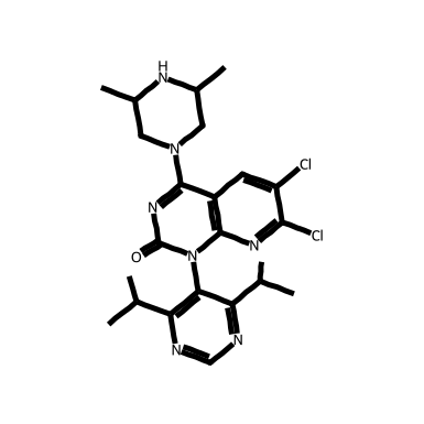 CC1CN(c2nc(=O)n(-c3c(C(C)C)ncnc3C(C)C)c3nc(Cl)c(Cl)cc23)CC(C)N1